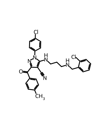 Cc1ccc(C(=O)c2nn(-c3ccc(Cl)cc3)c(NCCCNCc3ccccc3Cl)c2C#N)cc1